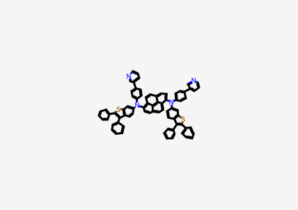 c1ccc(-c2sc3cc(N(c4ccc(-c5cccnc5)cc4)c4ccc5ccc6c(N(c7ccc(-c8cccnc8)cc7)c7ccc8c(-c9ccccc9)c(-c9ccccc9)sc8c7)ccc7ccc4c5c76)ccc3c2-c2ccccc2)cc1